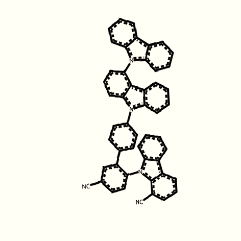 N#Cc1ccc(-n2c3ccccc3c3cccc(C#N)c32)c(-c2ccc(-n3c4ccccc4c4c(-n5c6ccccc6c6ccccc65)cccc43)cc2)c1